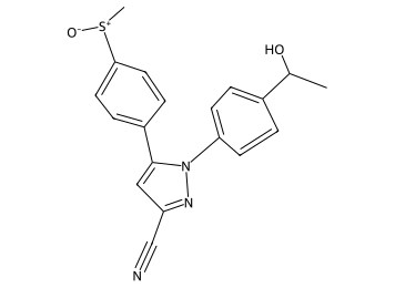 CC(O)c1ccc(-n2nc(C#N)cc2-c2ccc([S+](C)[O-])cc2)cc1